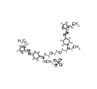 CCN(CCOCCOCCN(CC)c1ccc(N=Nc2scc[n+]2CC)cc1)c1ccc(N=Nc2scc[n+]2CC)cc1.O=S(=O)([O-])[O-]